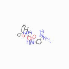 C[C@H](NC(=O)COC(=O)Nc1cccc(C(=N)N)c1)c1ccccc1